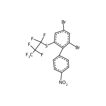 O=[N+]([O-])c1ccc(-c2c(Br)[c]c(Br)cc2SC(F)(F)C(F)(F)C(F)(F)F)cc1